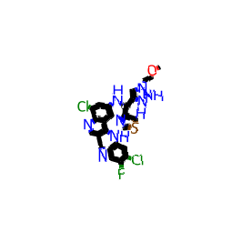 COCCN1C=C([C@@H](Nc2cc(Cl)c3ncc(C#N)c(Nc4ccc(F)c(Cl)c4)c3c2)c2cscn2)NN1